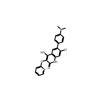 CN(C)c1ccc(-c2cc3c(O)c(Oc4ccccn4)c(=O)[nH]c3cc2Cl)cc1